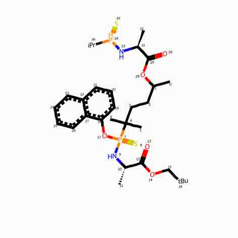 CC(CCC(C)(C)P(=S)(N[C@@H](C)C(=O)OCC(C)(C)C)Oc1cccc2ccccc12)OC(=O)[C@H](C)N[PH](=S)C(C)C